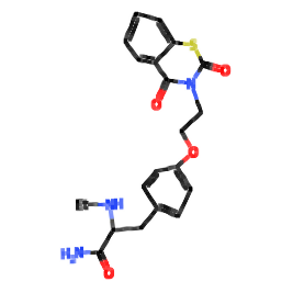 CCNC(Cc1ccc(OCCn2c(=O)sc3ccccc3c2=O)cc1)C(N)=O